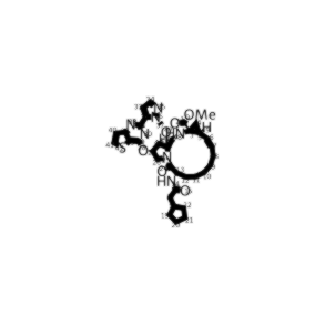 COC(=O)[C@@]12C[C@H]1/C=C\CCCCC[C@H](NC(=O)CC1CCCC1)C(=O)N1C[C@H](Oc3nc(-c4ccnn4C)nc4ccsc34)C[C@H]1C(=O)N2